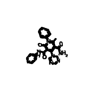 Cc1c(C(N)=O)c(N2C=NC=NC2)c(C(=O)Nc2ccccc2)c(=O)n1-c1ccccc1